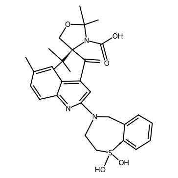 C=C(c1cc(N2CCS(O)(O)c3ccccc3C2)nc2ccc(C)cc12)[C@]1(C(C)(C)C)COC(C)(C)N1C(=O)O